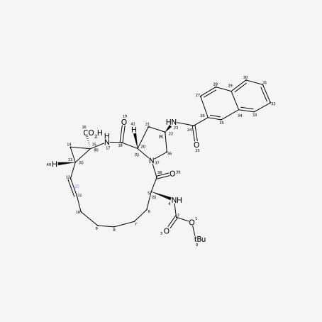 CC(C)(C)OC(=O)N[C@H]1CCCCC/C=C\[C@@H]2C[C@@]2(C(=O)O)NC(=O)[C@@H]2C[C@@H](NC(=O)c3ccc4ccccc4c3)CN2C1=O